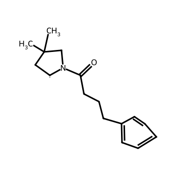 CC1(C)C[CH]N(C(=O)CCCc2ccccc2)C1